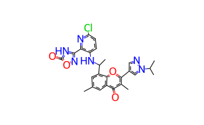 Cc1cc(C(C)Nc2ccc(Cl)nc2-c2noc(=O)[nH]2)c2oc(-c3cnn(C(C)C)c3)c(C)c(=O)c2c1